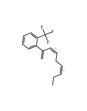 C=C(/C=C\C/C=C\CC)c1ccccc1C(F)(F)F